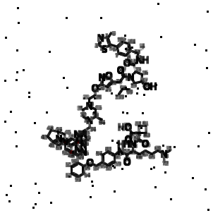 Cc1ncsc1-c1ccc([C@H](C)NC(=O)[C@@H]2C[C@@H](O)CN2C(=O)[C@@H](c2cc(OCCN3CCN(CCOc4cc(N5C6CCC5CN(c5cc(-c7ccccc7OCc7ccc(NC(=O)[C@H](CCCCN(C)C)NC(=O)C8(C(=O)O)CCC8)cc7)nnc5N)C6)ccn4)[C@H](C)C3)no2)C(C)C)cc1